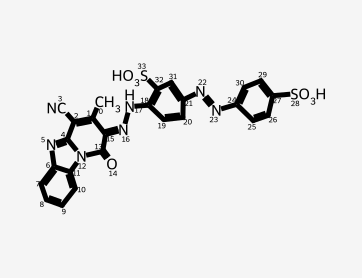 CC1=C(C#N)c2nc3ccccc3n2C(=O)/C1=N/Nc1ccc(N=Nc2ccc(S(=O)(=O)O)cc2)cc1S(=O)(=O)O